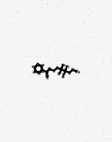 O=C(SCCC(F)(F)C(F)(F)CCF)c1ccccc1